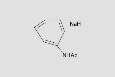 CC(=O)Nc1ccccc1.[NaH]